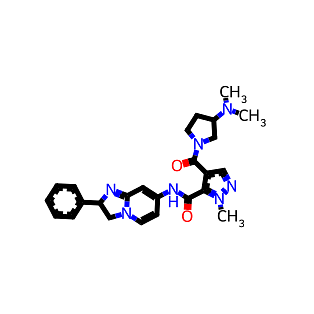 CN(C)C1CCN(C(=O)c2cnn(C)c2C(=O)NC2=CC3=NC(c4ccccc4)CN3C=C2)C1